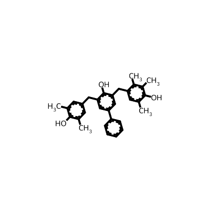 Cc1cc(Cc2cc(-c3ccccc3)cc(Cc3cc(C)c(O)c(C)c3C)c2O)cc(C)c1O